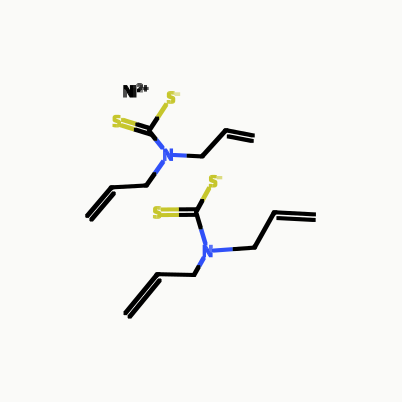 C=CCN(CC=C)C(=S)[S-].C=CCN(CC=C)C(=S)[S-].[Ni+2]